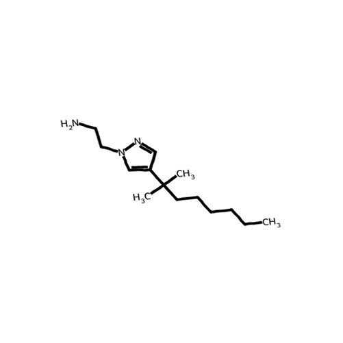 CCCCCCC(C)(C)c1cnn(CCN)c1